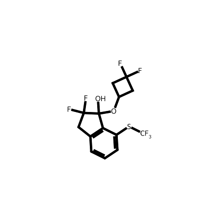 OC1(OC2CC(F)(F)C2)c2c(cccc2SC(F)(F)F)CC1(F)F